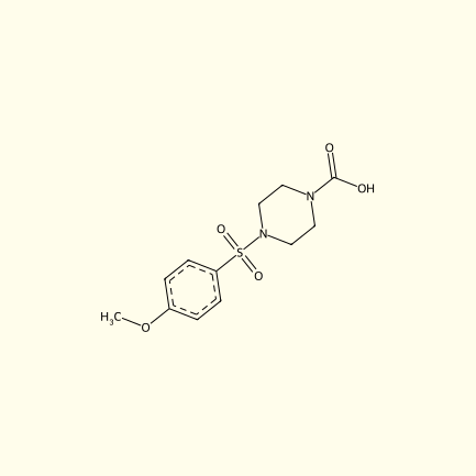 COc1ccc(S(=O)(=O)N2CCN(C(=O)O)CC2)cc1